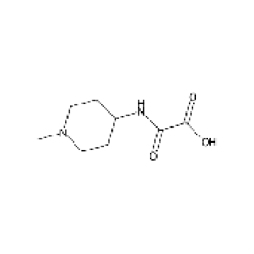 CN1CCC(NC(=O)C(=O)O)CC1